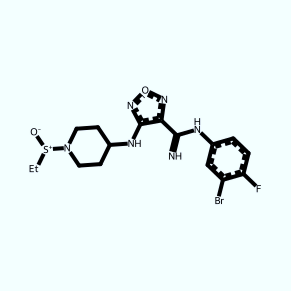 CC[S+]([O-])N1CCC(Nc2nonc2C(=N)Nc2ccc(F)c(Br)c2)CC1